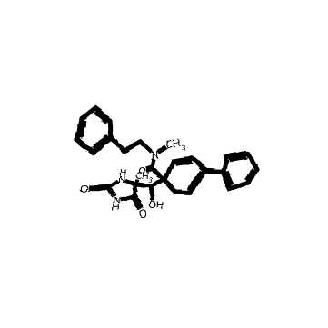 CN(CCc1ccccc1)C(=O)C1(C(O)C2(C)NC(=O)NC2=O)C=CC(c2ccccc2)=CC1